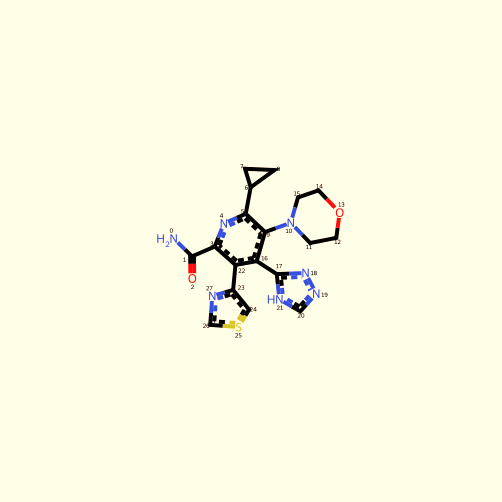 NC(=O)c1nc(C2CC2)c(N2CCOCC2)c(-c2nnc[nH]2)c1-c1cscn1